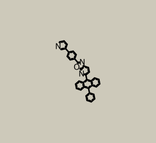 c1ccc(-c2c3ccccc3c(-c3ccc4nc(-c5ccc(-c6cccnc6)cc5)oc4n3)c3ccccc23)cc1